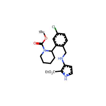 CCOC(=O)c1[nH]ccc1NCc1ccc(Cl)cc1C1CCCCN1C(=O)OC(C)(C)C